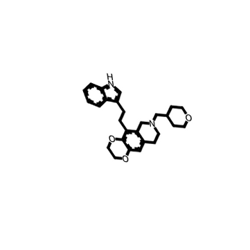 c1ccc2c(CCc3c4c(cc5c3OCCO5)CCN(CC3CCOCC3)C4)c[nH]c2c1